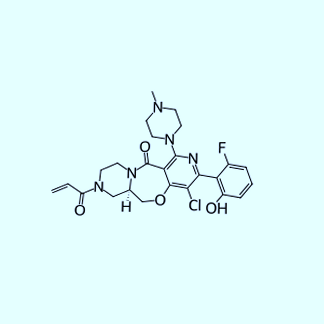 C=CC(=O)N1CCN2C(=O)c3c(N4CCN(C)CC4)nc(-c4c(O)cccc4F)c(Cl)c3OC[C@H]2C1